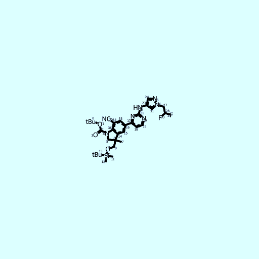 CC(C)(C)OC(=O)N1CC(C)(CO[Si](C)(C)C(C)(C)C)c2cc(-c3ccnc(Nc4cnn(CC(F)F)c4)n3)cc(C#N)c21